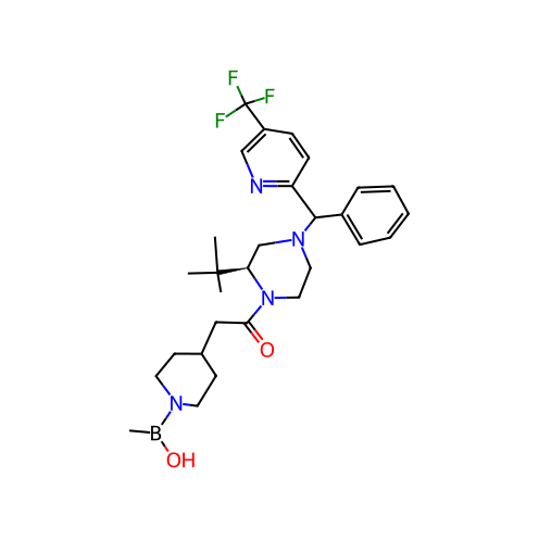 CB(O)N1CCC(CC(=O)N2CCN(C(c3ccccc3)c3ccc(C(F)(F)F)cn3)C[C@@H]2C(C)(C)C)CC1